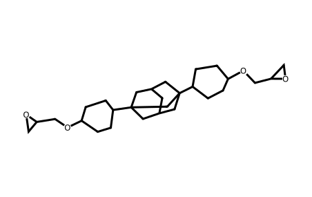 C1C2CC3(C4CCC(OCC5CO5)CC4)CC1CC(C1CCC(OCC4CO4)CC1)(C2)C3